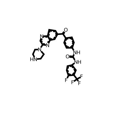 O=C(Nc1ccc(C(=O)c2ccc3ncc(N4CCNCC4)nc3c2)cc1)Nc1ccc(F)c(C(F)(F)F)c1